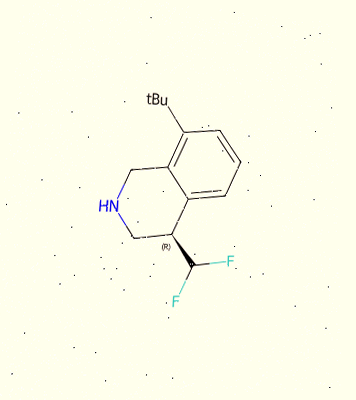 CC(C)(C)c1cccc2c1CNC[C@@H]2C(F)F